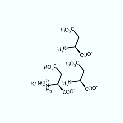 N[C@@H](CC(=O)O)C(=O)[O-].N[C@@H](CC(=O)O)C(=O)[O-].N[C@@H](CC(=O)O)C(=O)[O-].[K+].[Mg+2]